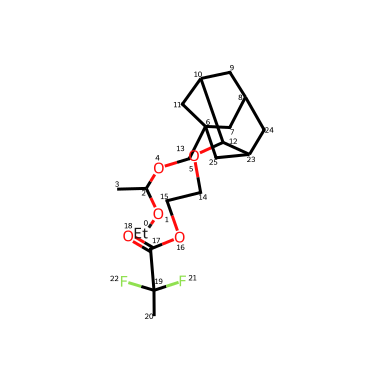 CCOC(C)OCC12CC3CC(C1)C(OCCOC(=O)C(C)(F)F)C(C3)C2